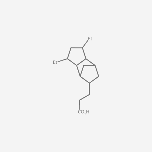 CCC1CC(CC)C2C3CC(CC3CCC(=O)O)C12